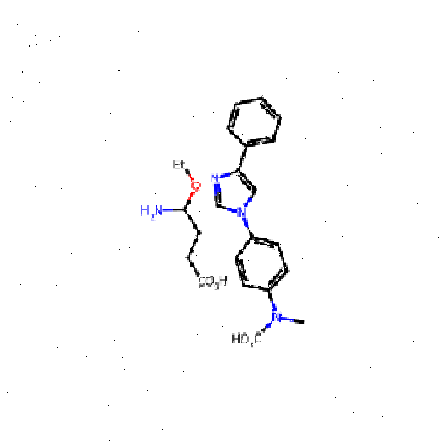 CCOC(N)CCC(=O)O.CN(C(=O)O)c1ccc(-n2cnc(-c3ccccc3)c2)cc1